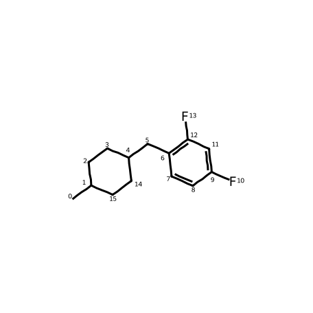 CC1CCC(Cc2ccc(F)cc2F)CC1